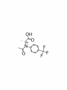 CC(=O)N(c1ccc(C(F)(F)F)cc1)[C@H](C)C(=O)O